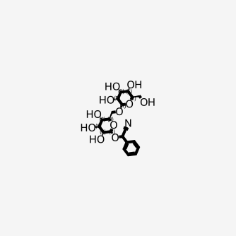 N#CC(O[C@@H]1O[C@H](CO[C@@H]2O[C@H](CO)[C@@H](O)[C@@H](O)[C@H]2O)[C@@H](O)[C@H](O)[C@H]1O)c1ccccc1